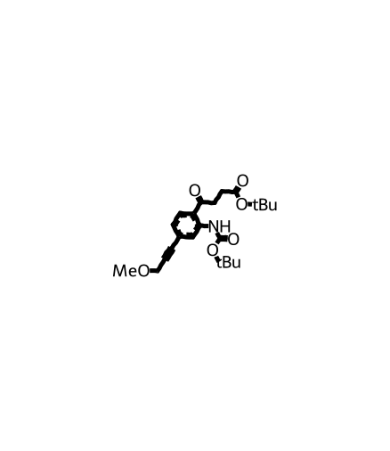 COCC#Cc1ccc(C(=O)CCC(=O)OC(C)(C)C)c(NC(=O)OC(C)(C)C)c1